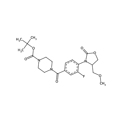 COCC1COC(=O)N1c1ccc(C(=O)N2CCN(C(=O)OC(C)(C)C)CC2)cc1F